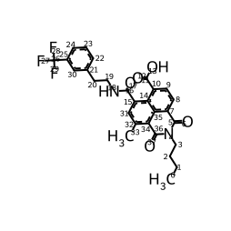 CCCCN1C(=O)c2ccc(C(=O)O)c3c(C(=O)NCCc4cccc(C(F)(F)F)c4)cc(C)c(c23)C1=O